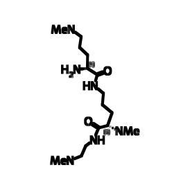 CNCCC[C@H](N)C(=O)NCCC[C@H](NC)C(=O)NCCNC